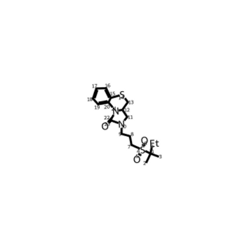 CCC(C)(C)S(=O)(=O)CCCN1CC2CSc3ccccc3N2C1=O